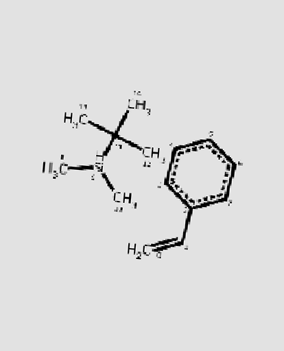 C=Cc1ccccc1.C[SiH](C)C(C)(C)C